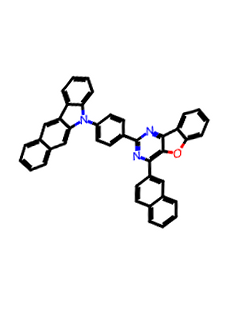 c1ccc2cc(-c3nc(-c4ccc(-n5c6ccccc6c6cc7ccccc7cc65)cc4)nc4c3oc3ccccc34)ccc2c1